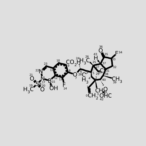 C=C[C@]1(C)C[C@@H]([C@H](Oc2ccc3c(c2F)B(O)N(S(C)(=O)=O)N=C3)C(=O)O)[C@@]2(C)[C@H](C)CC[C@]3(CC(F)C(=O)[C@H]32)[C@@H](C)[C@@H]1OC=O